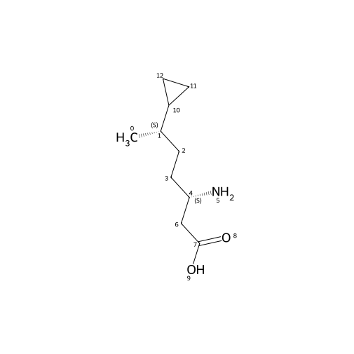 C[C@@H](CC[C@H](N)CC(=O)O)C1CC1